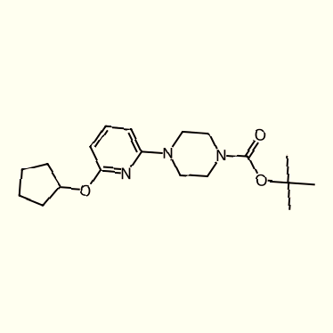 CC(C)(C)OC(=O)N1CCN(c2cccc(OC3CCCC3)n2)CC1